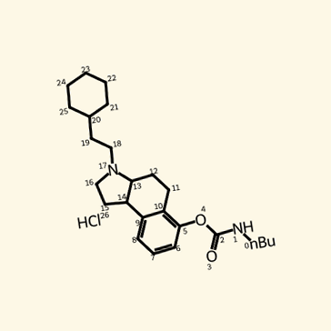 CCCCNC(=O)Oc1cccc2c1CCC1C2CCN1CCC1CCCCC1.Cl